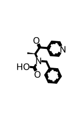 C[C@@H](C(=O)c1ccncc1)N(Cc1ccccc1)C(=O)O